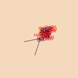 CCCCCCCCCCCCC/C=C/[C@@H](O)[C@H](CO[C@@H]1OC(CO)[C@@H](O[C@@H]2OC(CO)[C@H](O)[C@H](O[C@@H]3OC(CO)[C@@H](O[C@H]4OC(C)[C@@H](O)C(O)[C@@H]4O)[C@H](O[C@@H]4OC(CO)[C@H](O)[C@H](O[C@@H]5OC(CO)[C@@H](O[C@@H]6OC(CO)[C@H](O)[C@H](O)C6O[C@H]6OC(C)[C@@H](O)C(O)[C@@H]6O)[C@H](O)C5NC(C)=O)C4O)C3NC(C)=O)C2O)[C@H](O)C1O)NC(=O)CCCCCCCCCCCCCCC